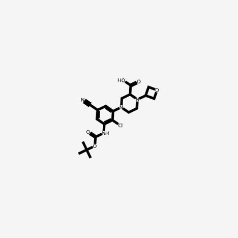 CC(C)(C)OC(=O)Nc1cc(C#N)cc(N2CCN(C3COC3)C(C(=O)O)C2)c1Cl